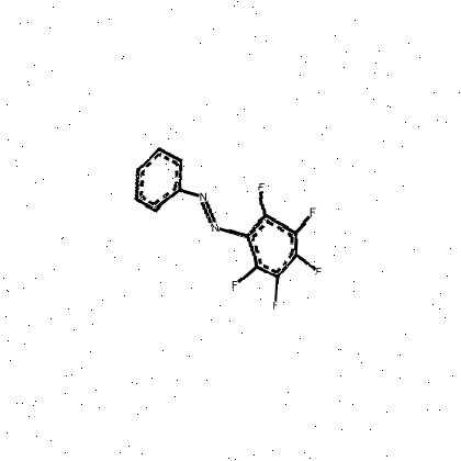 Fc1c(F)c(F)c(N=Nc2ccccc2)c(F)c1F